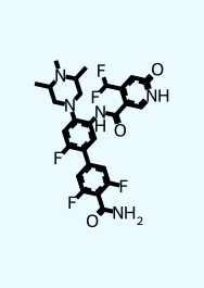 CC1CN(c2cc(F)c(-c3cc(F)c(C(N)=O)c(F)c3)cc2NC(=O)c2c[nH]c(=O)cc2C(F)F)CC(C)N1C